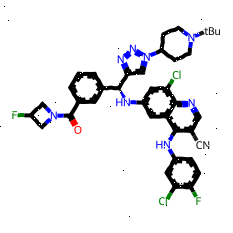 CC(C)(C)N1CCC(n2cc([C@@H](Nc3cc(Cl)c4ncc(C#N)c(Nc5ccc(F)c(Cl)c5)c4c3)c3cccc(C(=O)N4CC(F)C4)c3)nn2)CC1